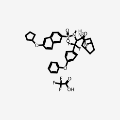 CN(C(C(=O)N1C2CCC1CC(N)C2)C(F)(F)c1ccc(Oc2ccccc2)cc1)S(=O)(=O)c1ccc2cc(OC3CCCC3)ccc2c1.O=C(O)C(F)(F)F